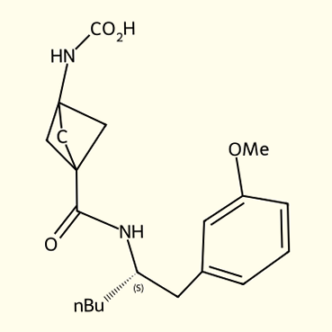 CCCC[C@@H](Cc1cccc(OC)c1)NC(=O)C12CC(NC(=O)O)(C1)C2